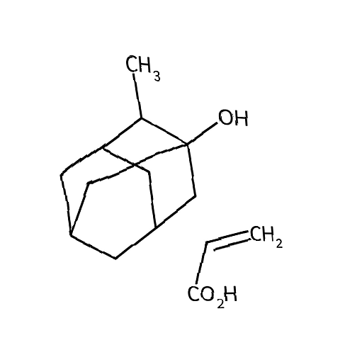 C=CC(=O)O.CC1C2CC3CC(C2)CC1(O)C3